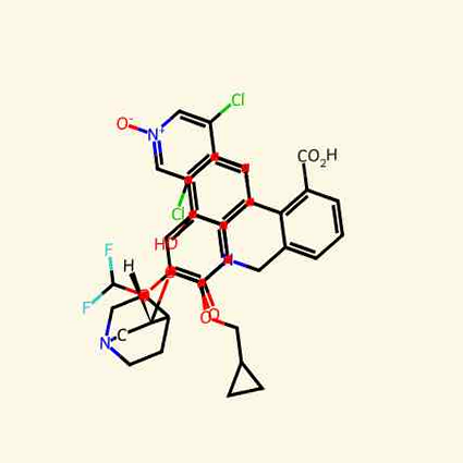 O=C(O)c1cccc(CN(C(=O)O[C@H]2CN3CCC2CC3)c2ccccc2O)c1[C@@H](Cc1c(Cl)c[n+]([O-])cc1Cl)c1ccc(OC(F)F)c(OCC2CC2)c1